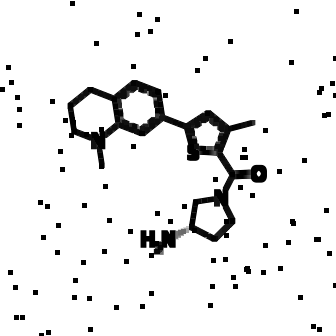 Cc1cc(-c2ccc3c(c2)N(C)CCC3)sc1C(=O)N1CC[C@H](N)C1